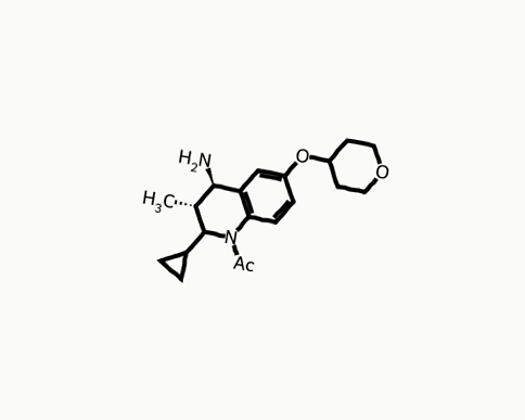 CC(=O)N1c2ccc(OC3CCOCC3)cc2[C@H](N)[C@@H](C)C1C1CC1